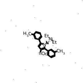 CCCCCCCCC1=C(c2cccc(C)c2)[N+](=[N-])C(c2cccc(C)c2)=C1.C[CH2][Ni][CH2]C